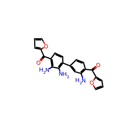 Nc1cc(-c2ccc(C(=O)c3ccco3)c(N)c2N)ccc1C(=O)c1ccco1